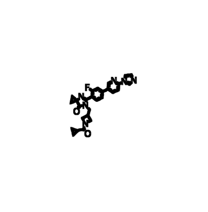 O=C(C1CC1)N1CC(CN2C(=O)C3(CC3)N=C2c2ccc(-c3ccc(-n4ccnc4)nc3)cc2F)C1